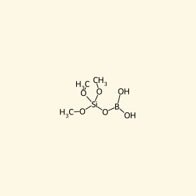 CO[Si](OC)(OC)OB(O)O